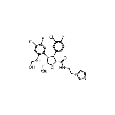 CC(C)(C)C[C@H]1N[C@@H](C(=O)NCCn2ccnc2)[C@H](c2ccc(F)c(Cl)c2)[C@@H]1c1cc(F)c(Cl)cc1NCO